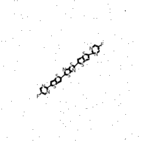 Fc1cnc(-c2cc3sc(-c4nc5sc(-c6cc7sc(-c8ncc(F)cn8)cc7s6)nc5s4)cc3s2)nc1